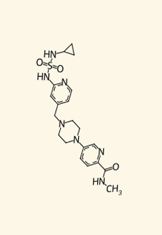 CNC(=O)c1ccc(N2CCN(Cc3ccnc(NS(=O)(=O)NC4CC4)c3)CC2)cn1